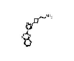 NCCC1CC(n2cc(-c3cnc4ccccc4n3)cn2)C1